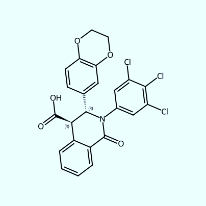 O=C(O)[C@@H]1c2ccccc2C(=O)N(c2cc(Cl)c(Cl)c(Cl)c2)[C@H]1c1ccc2c(c1)OCCO2